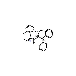 C/C=C1/N[C@]2(C)[C@@H](c3ccccc3)c3ccccc3CN2c2cccc(C)c21